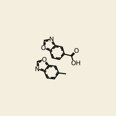 Cc1ccc2ncoc2c1.O=C(O)c1ccc2ocnc2c1